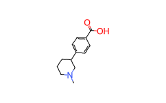 CN1CCCC(c2ccc(C(=O)O)cc2)C1